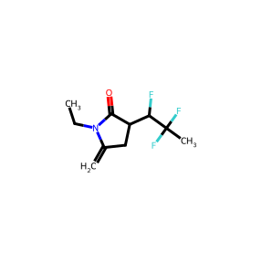 C=C1CC(C(F)C(C)(F)F)C(=O)N1CC